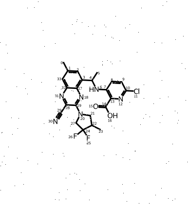 Cc1cc(C(C)Nc2ccc(Cl)nc2C(=O)O)c2nc(N3CC(C)C(F)(F)C3)c(C#N)nc2c1